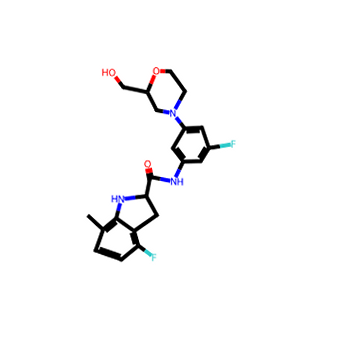 Cc1ccc(F)c2c1NC(C(=O)Nc1cc(F)cc(N3CCOC(CO)C3)c1)C2